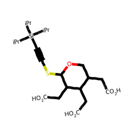 CC(C)[Si](C#CSC1OCC(CC(=O)O)C(CC(=O)O)C1CC(=O)O)(C(C)C)C(C)C